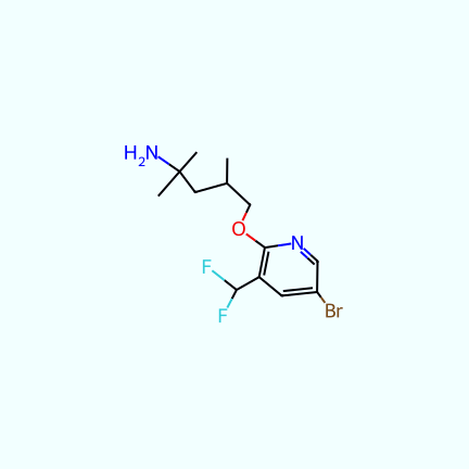 CC(COc1ncc(Br)cc1C(F)F)CC(C)(C)N